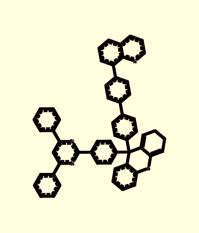 C1=C2Sc3ccccc3C(c3ccc(-c4ccc(-c5cccc6cccnc56)cc4)cc3)(c3ccc(-c4nc(-c5ccccc5)cc(-c5ccccc5)n4)cc3)C2=CCC1